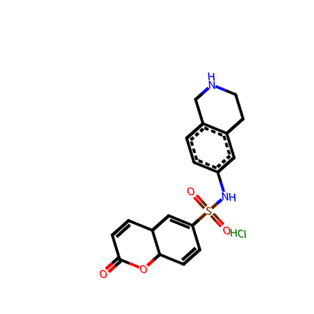 Cl.O=C1C=CC2C=C(S(=O)(=O)Nc3ccc4c(c3)CCNC4)C=CC2O1